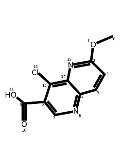 COc1ccc2ncc(C(=O)O)c(Cl)c2n1